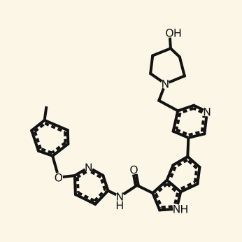 Cc1ccc(Oc2ccc(NC(=O)c3c[nH]c4ccc(-c5cncc(CN6CCC(O)CC6)c5)cc34)cn2)cc1